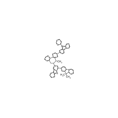 CC1c2cc(-c3ccc4c5ccccc5n(-c5ccccc5)c4c3)ccc2-c2ccccc2CC1c1cc(-c2ccc3c(c2)C(C)(C)c2ccccc2-3)c2sc3ccccc3c2c1